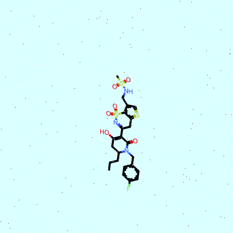 CCCC1CC(O)=C(C2=NS(=O)(=O)c3c(CNS(C)(=O)=O)csc3C2)C(=O)N1Cc1ccc(F)cc1